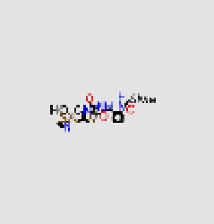 CSCC(=O)Nc1ccccc1CC(=O)NC1C(=O)N2C(C(=O)O)=C(CSc3nccs3)CS[C@H]12